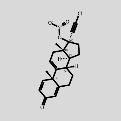 C[C@]12C=CC(=O)C=C1CC[C@@H]1C2=CC[C@@]2(C)[C@H]1CC[C@]2(C#CCl)O[N+](=O)[O-]